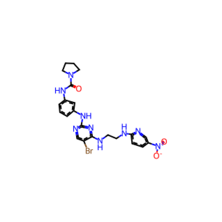 O=C(Nc1cccc(Nc2ncc(Br)c(NCCNc3ccc([N+](=O)[O-])cn3)n2)c1)N1CCCC1